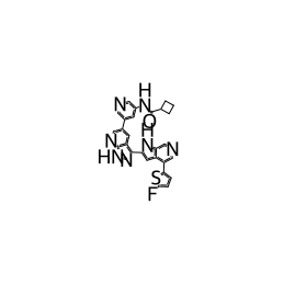 O=C(Nc1cncc(-c2cnc3[nH]nc(-c4cc5c(-c6ccc(F)s6)cncc5[nH]4)c3c2)c1)C1CCC1